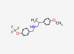 COc1ccc(C(C)CNCc2ccc(OC(F)(F)F)cc2)cc1